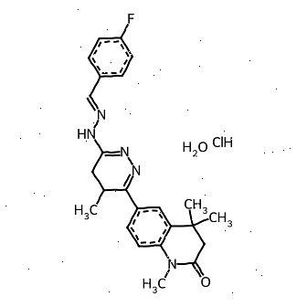 CC1CC(N/N=C/c2ccc(F)cc2)=NN=C1c1ccc2c(c1)C(C)(C)CC(=O)N2C.Cl.O